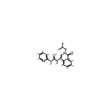 CC(C)Cn1cc(NC(=O)Nc2ccccn2)c2ccccc2c1=O